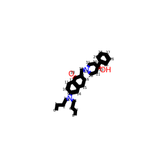 CCCCN(CCCC)c1ccc2c(c1)CCC(CN1CCC(O)(c3ccccc3)CC1)C2=O